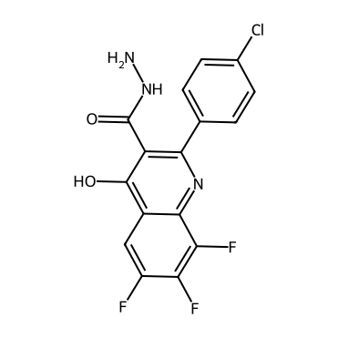 NNC(=O)c1c(-c2ccc(Cl)cc2)nc2c(F)c(F)c(F)cc2c1O